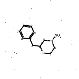 O=[N+]([O-])N1CCOC(Cc2ccccc2)C1